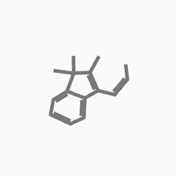 C/C=C\C1=C(C)C(C)(C)c2ccccc21